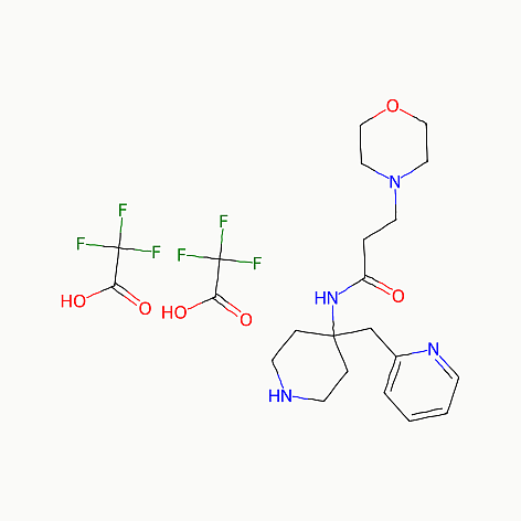 O=C(CCN1CCOCC1)NC1(Cc2ccccn2)CCNCC1.O=C(O)C(F)(F)F.O=C(O)C(F)(F)F